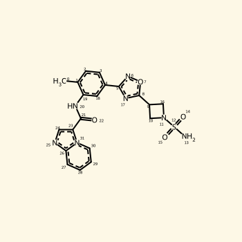 Cc1ccc(-c2noc(C3CN(S(N)(=O)=O)C3)n2)cc1NC(=O)c1cnc2ccccn12